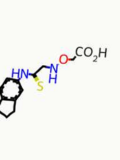 O=C(O)CONCC(=S)Nc1ccc2c(c1)CCC2